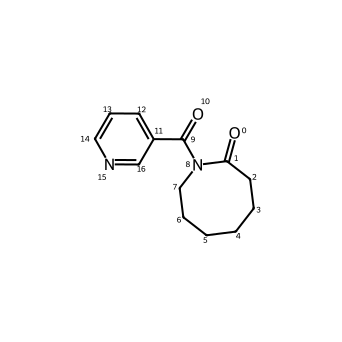 O=C1CCCCCCN1C(=O)c1cccnc1